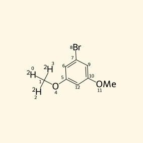 [2H]C([2H])([2H])Oc1cc(Br)cc(OC)c1